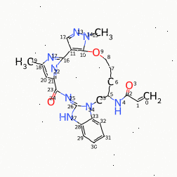 C=CC(=O)NC1CCCOc2c(cnn2C)-c2nc(C)cc(n2)C(=O)/N=C2\Nc3ccccc3N2C1